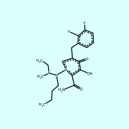 CCCCN(N(C)CC)n1cc(Cc2cccc(F)c2F)c(=O)c(O)c1C(N)=O